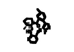 Cc1ccc(-c2cnn(C)c2)c(C(=O)N2CCC[C@@H](C)[C@H]2CNc2ncccc2C#N)c1